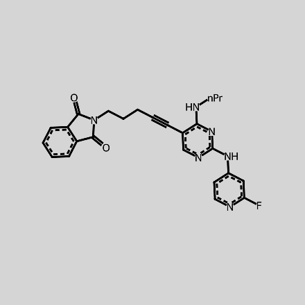 CCCNc1nc(Nc2ccnc(F)c2)ncc1C#CCCCN1C(=O)c2ccccc2C1=O